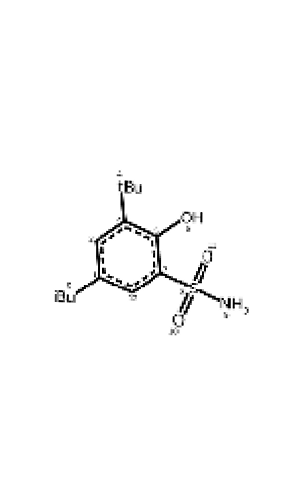 CCC(C)c1cc(C(C)(C)C)c(O)c(S(N)(=O)=O)c1